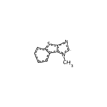 Cn1[c]nc2sc3ccccc3c21